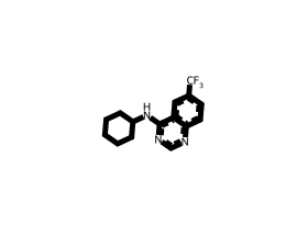 FC(F)(F)c1ccc2ncnc(NC3CCCCC3)c2c1